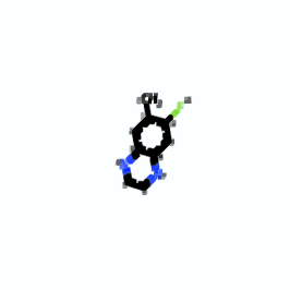 Cc1cc2nccnc2cc1F